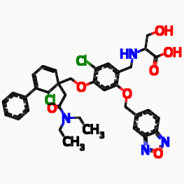 CCN(CC)C(=O)CC1(COc2cc(OCc3ccc4nonc4c3)c(CNC(CO)C(=O)O)cc2Cl)C=CC=C(c2ccccc2)C1Cl